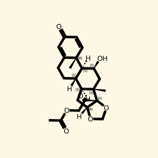 CC(=O)OCC(=O)[C@@]12OCO[C@@H]1C[C@H]1[C@@H]3CCC4=CC(=O)C=C[C@]4(C)[C@H]3[C@@H](O)C[C@@]12C